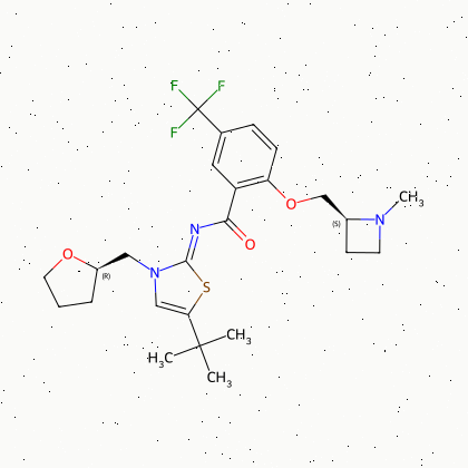 CN1CC[C@H]1COc1ccc(C(F)(F)F)cc1C(=O)N=c1sc(C(C)(C)C)cn1C[C@H]1CCCO1